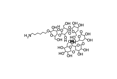 NCCCCCCO[C@@H]1OC(CO)[C@@H](O[C@H]2OC(CO)[C@H](O[C@H]3OC(CO)[C@@H](O[C@@H]4OC(CO)[C@@H](O[C@@H]5OC(CO)[C@@H](O[C@H]6OC(CO)[C@H](O)[C@H](O)C6O)[C@H](O)C5O)[C@H](O)C4O)[C@H](O)C3O)[C@H](O)C2O)[C@H](O)C1O